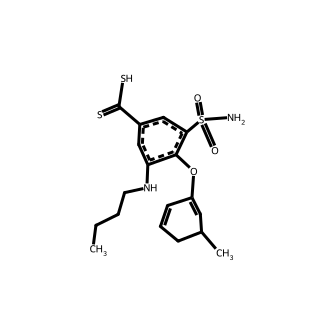 CCCCNc1cc(C(=S)S)cc(S(N)(=O)=O)c1OC1=CC(C)CC=C1